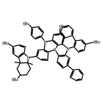 CC(C)(C)c1ccc(N2c3cc(N4c5ccc(C(C)(C)C)cc5C5(C)CC(C(C)(C)C)CCC45C)ccc3B3c4ccc(-c5ccccc5)cc4N(c4ccc(C(C)(C)C)cc4-c4ccccc4)c4cc(C(C)(C)C)cc2c43)cc1